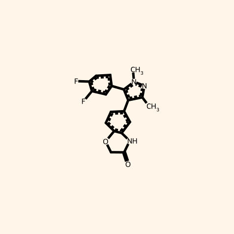 Cc1nn(C)c(-c2ccc(F)c(F)c2)c1-c1ccc2c(c1)NC(=O)CO2